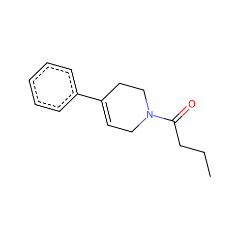 CCCC(=O)N1CC=C(c2ccccc2)CC1